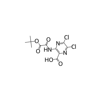 CC(C)(C)OC(=O)C(=O)Nc1nc(Cl)c(Cl)nc1C(=O)O